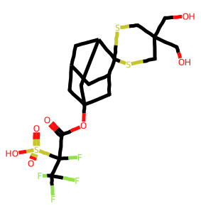 O=C(OC12CC3CC(C1)C1(SCC(CO)(CO)CS1)C(C3)C2)C(F)(C(F)(F)F)S(=O)(=O)O